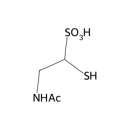 CC(=O)NCC(S)S(=O)(=O)O